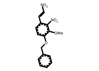 COc1c(OCc2ccccc2)ccc(C=C[N+](=O)[O-])c1[N+](=O)[O-]